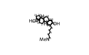 CNCCCCCc1cc2c(cc1O)CC[C@@H]1[C@@H]2CC[C@]2(C)[C@@H](O)CC[C@@H]12